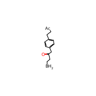 BCCC(=O)Cc1ccc(CCC(C)=O)cc1